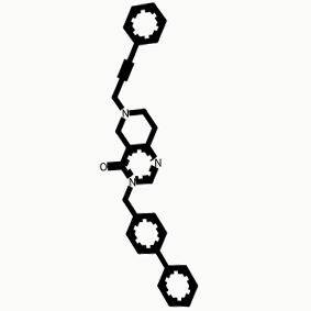 O=c1c2c(ncn1Cc1ccc(-c3ccccc3)cc1)CCN(CC#Cc1ccccc1)C2